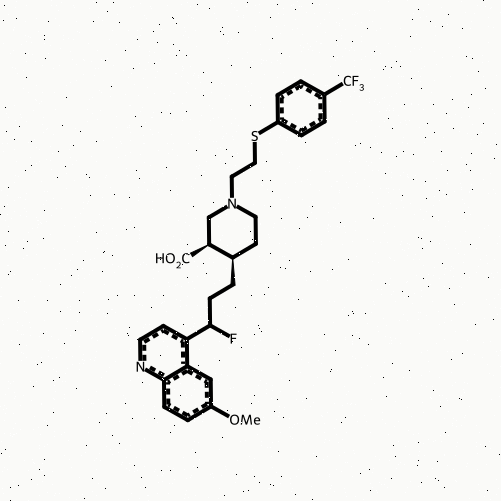 COc1ccc2nccc(C(F)CC[C@@H]3CCN(CCSc4ccc(C(F)(F)F)cc4)C[C@@H]3C(=O)O)c2c1